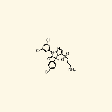 C[C@@]1(c2ccc(Br)cc2)C(=O)N(c2cc(Cl)cc(Cl)c2)c2ncc(S(=O)(=O)CCCN)n21